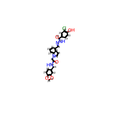 O=C(Cn1ccc2c(/C=N/NC(=O)c3ccc(O)c(Cl)c3)cccc21)NCc1ccc2c(c1)OCO2